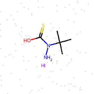 CC(C)(C)N(N)C(O)=S.I